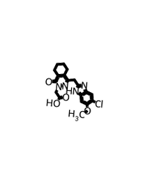 COc1cc2[nH]c(Cc3nn(CC(=O)O)c(=O)c4c3CCCC4)nc2cc1Cl